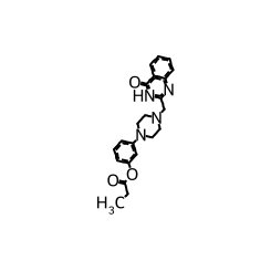 CCC(=O)Oc1cccc(N2CCN(Cc3nc4ccccc4c(=O)[nH]3)CC2)c1